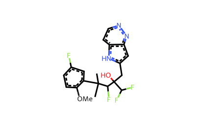 COc1ccc(F)cc1C(C)(C)C(F)C(O)(Cc1cc2nnccc2[nH]1)C(F)F